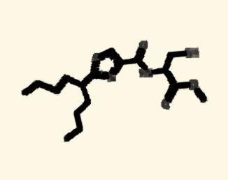 CCCCC(CCCC)c1nc(C(=O)NC(CS)C(=O)OC)cs1